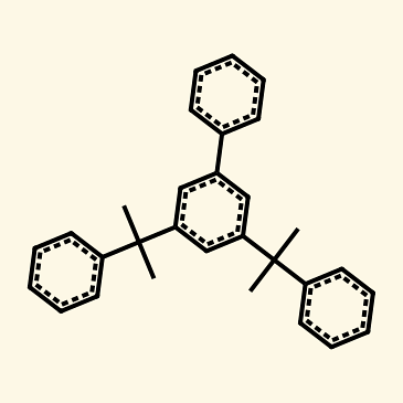 CC(C)(c1ccccc1)c1cc(-c2ccccc2)cc(C(C)(C)c2ccccc2)c1